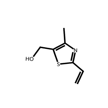 C=Cc1nc(C)c(CO)s1